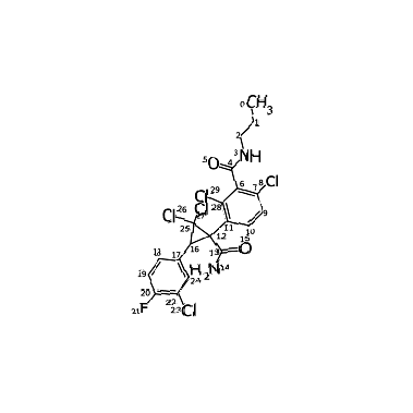 CCCNC(=O)c1c(Cl)ccc(C2(C(N)=O)C(c3ccc(F)c(Cl)c3)C2(Cl)Cl)c1Cl